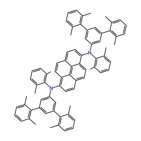 Cc1cccc(C)c1-c1cc(-c2c(C)cccc2C)cc(N(c2c(C)cccc2C)c2ccc3ccc4c(N(c5cc(-c6c(C)cccc6C)cc(-c6c(C)cccc6C)c5)c5c(C)cccc5C)ccc5ccc2c3c54)c1